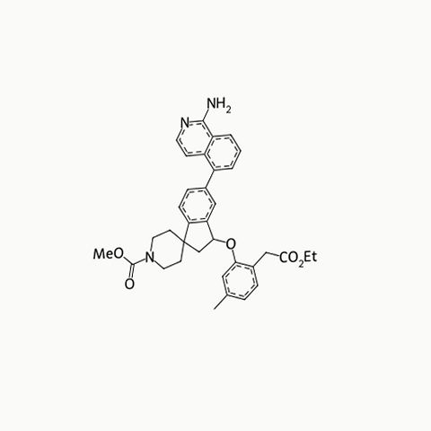 CCOC(=O)Cc1ccc(C)cc1OC1CC2(CCN(C(=O)OC)CC2)c2ccc(-c3cccc4c(N)nccc34)cc21